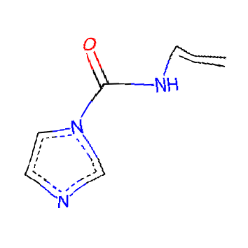 C=CNC(=O)n1ccnc1